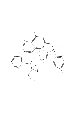 B[C@@](Nc1cc(Cl)c2ncc(C#N)c(N[C@H](CCOC)c3ccccc3)c2c1)(C1=CN(C2CC2)NN1)c1ccc(F)cc1